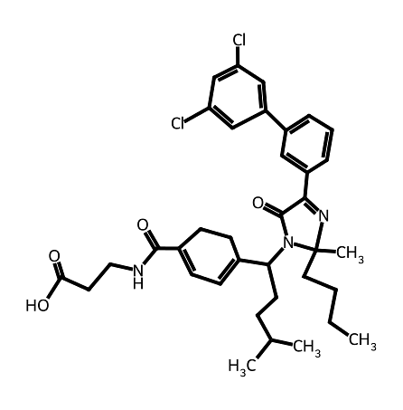 CCCCC1(C)N=C(c2cccc(-c3cc(Cl)cc(Cl)c3)c2)C(=O)N1C(CCC(C)C)C1=CC=C(C(=O)NCCC(=O)O)CC1